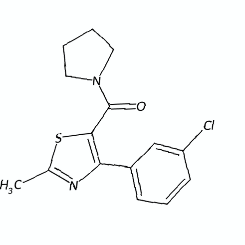 Cc1nc(-c2cccc(Cl)c2)c(C(=O)N2CCCC2)s1